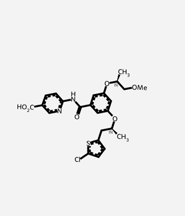 COC[C@H](C)Oc1cc(O[C@@H](C)Cc2ccc(Cl)s2)cc(C(=O)Nc2ccc(C(=O)O)cn2)c1